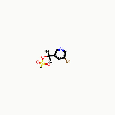 [2H]C([2H])(OS(C)(=O)=O)c1cncc(Br)c1